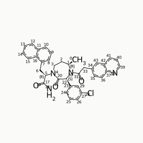 C[C@@H]1CCN([C@H](Cc2cccc3ccccc23)C(N)=O)C(=O)[C@H](c2cccc(Cl)c2)N1C(=O)Cc1ccc2ncccc2c1